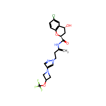 C=C(CCn1cc(N2CC(OC(F)(F)F)C2)cn1)NC(=O)[C@@H]1C[C@@H](O)c2cc(Cl)ccc2O1